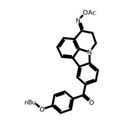 CCCCOc1ccc(C(=O)c2ccc3c(c2)c2cccc4c2n3CC/C4=N\OC(C)=O)cc1